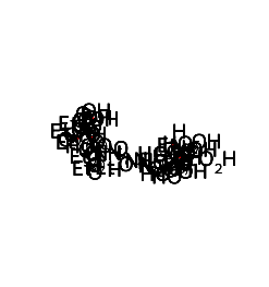 CCC(=O)N[C@H]1C([C@H](O)[C@H](O)CO)O[C@@](O[C@@H]2C(O)[C@H](O[C@@H]3C(CO)OC(OCCn4cc(CNC(=O)CCC(=O)NCCO[C@@H]5OC(CO[C@@H]6OC(CO)[C@@H](OP(=O)(O)O)[C@H](OC(=O)CC)C6NC(=O)C[C@@H](CC)OC(=O)CC)[C@@H](O)[C@H](OC(=O)CC)C5NC(=O)C[C@@H](CC)OC(=O)CC)nn4)[C@@H](O)[C@H]3O)OC(CO)[C@@H]2O)(C(=O)O)C[C@H]1O